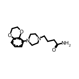 NC(=O)CCCN1CCN(c2cccc3c2OCCO3)CC1